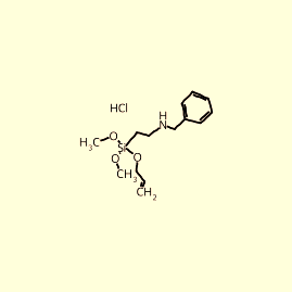 C=CCO[Si](CCNCc1ccccc1)(OC)OC.Cl